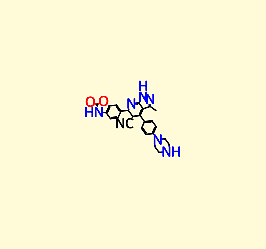 Cc1n[nH]c2c1=C(c1ccc(N3CCNCC3)cc1)C(C#N)C(c1ccc3[nH]c(=O)oc3c1)N=2